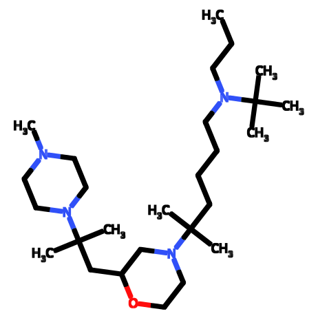 CCCN(CCCCC(C)(C)N1CCOC(CC(C)(C)N2CCN(C)CC2)C1)C(C)(C)C